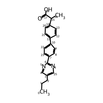 CCCc1cnc(-c2ccc(-c3ccc(C(C)C(=O)O)cc3)cc2)nc1